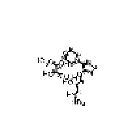 CC(C)(C)NC[C@H](O)COc1nsnc1N1CCOCC1.O=C(O)C(O)C(O)C(=O)O